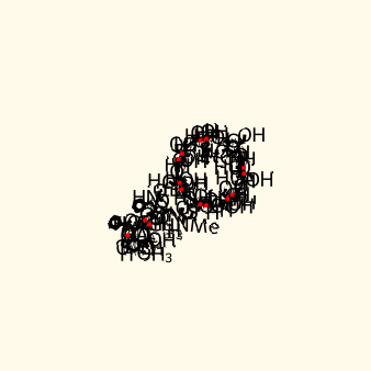 CCSCC1O[C@@H]2O[C@@H]3C(CO)O[C@H](O[C@@H]4C(CO)O[C@H](O[C@@H]5C(CSCC(NC)C(=O)NCC(=O)O[C@@H](C(=O)O[C@H]6C[C@@]7(O)[C@@H](OC(=O)c8ccccc8)[C@@H]8[C@]9(OC(C)=O)CO[C@@H]9C[C@H](O)[C@@]8(C)C(=O)[C@H](O)C(=C6C)C7(C)C)[C@@H](NC(=O)OC(C)(C)C)c6ccccc6)O[C@H](O[C@@H]6C(CO)O[C@H](O[C@@H]7C(CO)O[C@H](O[C@@H]8C(CO)O[C@H](O[C@H]1[C@H](O)C2O)C(O)[C@H]8O)C(O)[C@H]7O)[C@@H](O)C6O)[C@@H](O)C5O)[C@@H](O)C4O)[C@@H](O)C3O